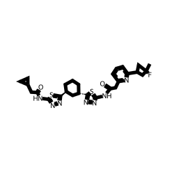 CC1(F)CC(c2cccc(CC(=O)Nc3nnc([C@H]4CCC[C@H](c5nnc(NC(=O)CC6CC6)s5)C4)s3)n2)C1